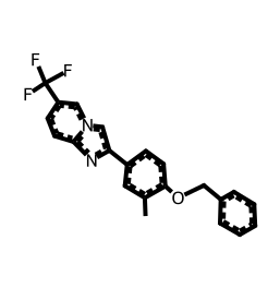 Cc1cc(-c2cn3cc(C(F)(F)F)ccc3n2)ccc1OCc1ccccc1